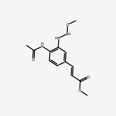 COBNc1cc(/C=C/C(=O)OC)ccc1NC(C)=O